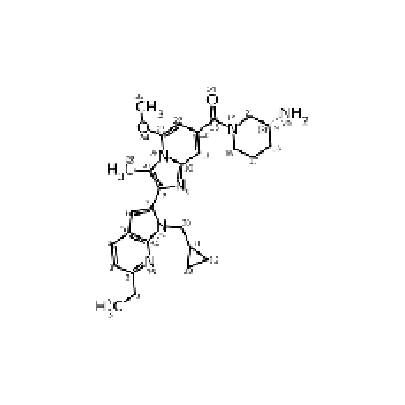 CCc1ccc2cc(-c3nc4cc(C(=O)N5CCC[C@@H](N)C5)cc(OC)n4c3C)n(CC3CC3)c2n1